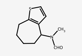 CN(C=O)C1CCCCc2sccc21